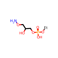 CCOP(=O)(O)OCC(O)CON